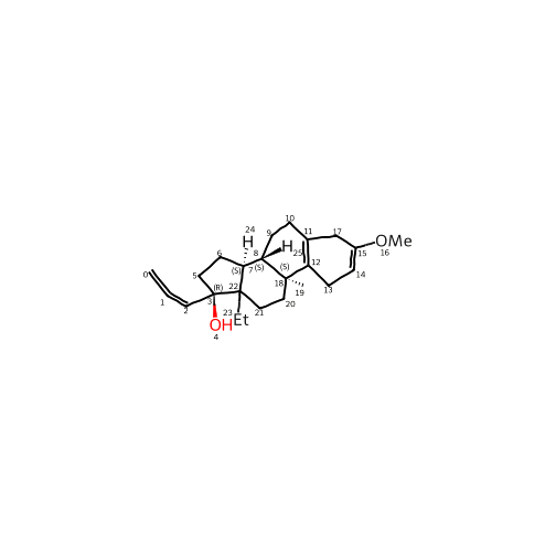 C=C=C[C@]1(O)CC[C@H]2[C@@H]3CCC4=C(CC=C(OC)C4)[C@@]3(C)CCC21CC